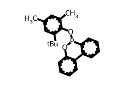 Cc1cc(C)c(OP2Oc3ccccc3-c3ccccc32)c(C(C)(C)C)c1